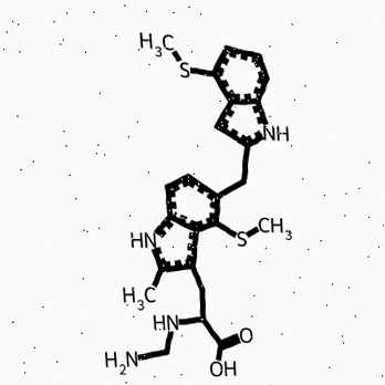 CSc1cccc2[nH]c(Cc3ccc4[nH]c(C)c(CC(NCN)C(=O)O)c4c3SC)cc12